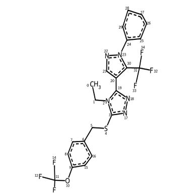 CCn1c(SCc2ccc(OC(F)(F)F)cc2)nnc1-c1cnn(-c2ccccc2)c1C(F)(F)F